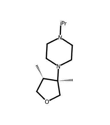 CC(C)N1CCN([C@@]2(C)COC[C@@H]2C)CC1